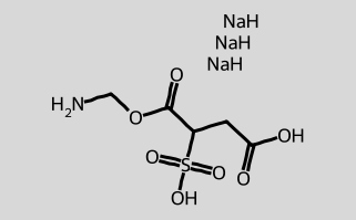 NCOC(=O)C(CC(=O)O)S(=O)(=O)O.[NaH].[NaH].[NaH]